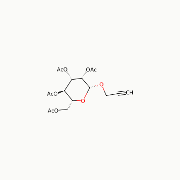 C#CCO[C@@H]1O[C@H](COC(C)=O)[C@@H](OC(C)=O)[C@H](OC(C)=O)[C@@H]1OC(C)=O